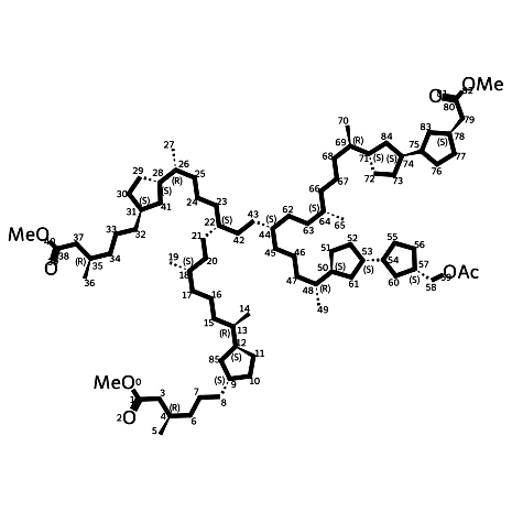 COC(=O)C[C@H](C)CCC[C@H]1CC[C@H]([C@H](C)CCC[C@H](C)CC[C@H](CCC[C@@H](C)[C@H]2CC[C@H](CCC[C@@H](C)CC(=O)OC)C2)CC[C@@H](CCC[C@@H](C)[C@H]2CC[C@H](C3CC[C@H](COC(C)=O)C3)C2)CC[C@@H](C)CCC[C@@H](C)[C@H]2CC[C@H](C3CC[C@H](CC(=O)OC)C3)C2)C1